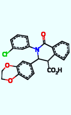 O=C(O)C1c2ccccc2C(=O)N(c2cccc(Cl)c2)C1c1ccc2c(c1)OCCO2